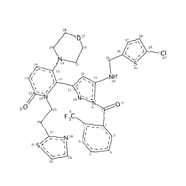 O=C(c1ccccc1C(F)(F)F)n1nc(-c2c(N3CCOCC3)ccc(=O)n2CCc2nccs2)cc1NCc1ccc(Cl)s1